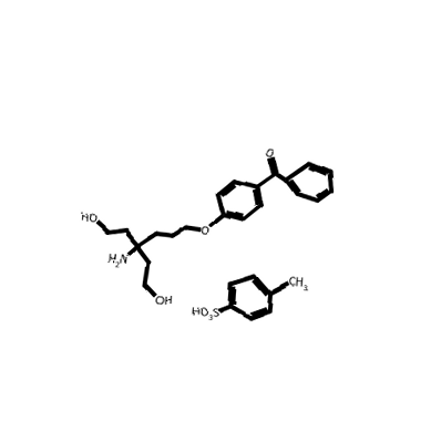 Cc1ccc(S(=O)(=O)O)cc1.NC(CCO)(CCO)CCCOc1ccc(C(=O)c2ccccc2)cc1